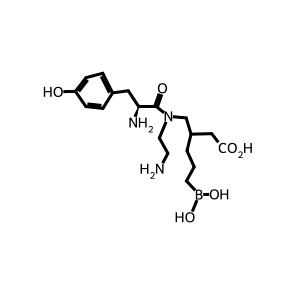 NCCN(CC(CCCB(O)O)CC(=O)O)C(=O)[C@@H](N)Cc1ccc(O)cc1